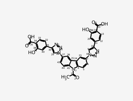 CC(=O)n1c2ccc(-n3cc(-c4ccc(C(=O)O)c(O)c4)nn3)cc2c2cc(-n3cc(-c4ccc(C(=O)O)c(O)c4)nn3)ccc21